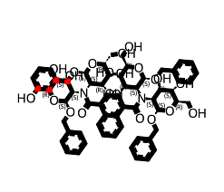 O=C(c1ccc(C(=O)N([C@@H]2[C@@H](OCc3ccccc3)O[C@H](CO)[C@@H](O)[C@@H]2O)[C@@H]2[C@@H](OCc3ccccc3)O[C@H](CO)[C@@H](O)[C@@H]2O)c2ccccc12)N([C@@H]1[C@@H](OCc2ccccc2)O[C@H](CO)[C@@H](O)[C@@H]1O)[C@@H]1[C@@H](OCc2ccccc2)O[C@H](CO)[C@@H](O)[C@@H]1O